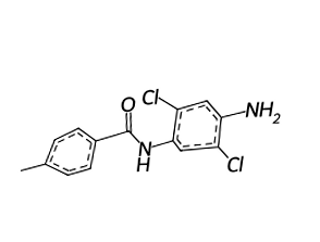 Cc1ccc(C(=O)Nc2cc(Cl)c(N)cc2Cl)cc1